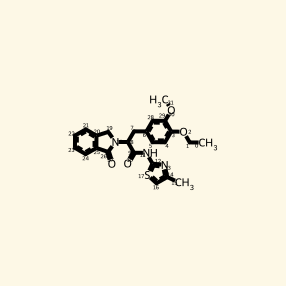 CCOc1ccc(CC(C(=O)Nc2nc(C)cs2)N2Cc3ccccc3C2=O)cc1OC